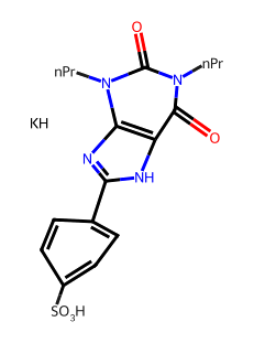 CCCn1c(=O)c2[nH]c(-c3ccc(S(=O)(=O)O)cc3)nc2n(CCC)c1=O.[KH]